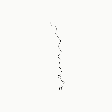 CCCCCCCCCCOP=O